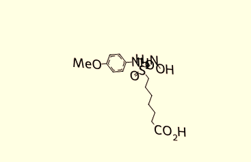 COc1ccc(NS(=O)(=O)CCCCCCC(=O)O)cc1.NO